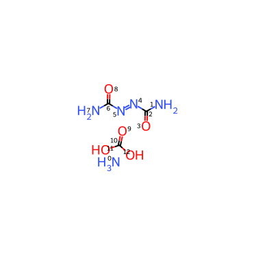 N.NC(=O)N=NC(N)=O.O=C(O)O